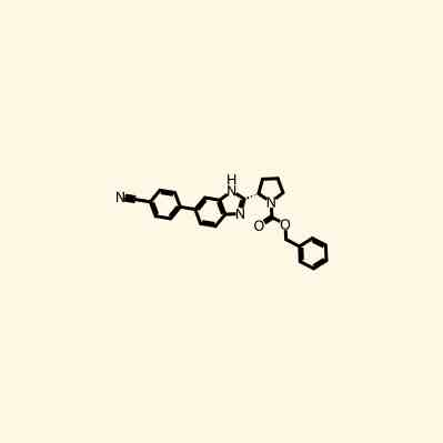 N#Cc1ccc(-c2ccc3nc([C@@H]4CCCN4C(=O)OCc4ccccc4)[nH]c3c2)cc1